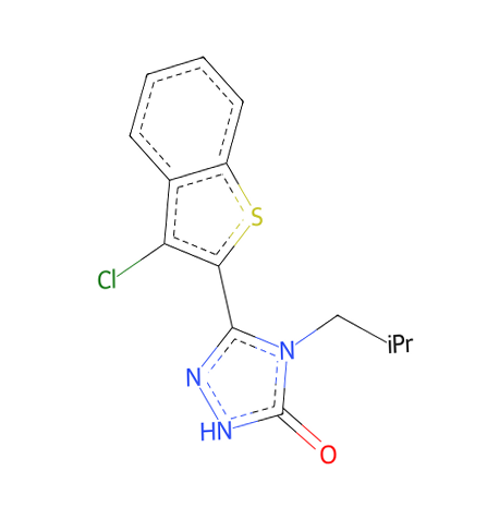 CC(C)Cn1c(-c2sc3ccccc3c2Cl)n[nH]c1=O